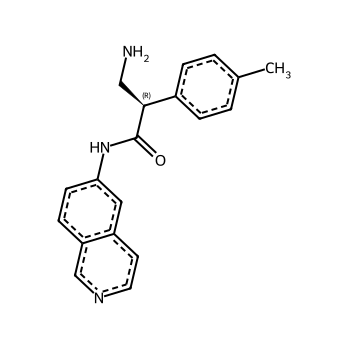 Cc1ccc([C@H](CN)C(=O)Nc2ccc3cnccc3c2)cc1